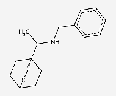 CC(NCc1ccccc1)C12CCC(CC1)CC2